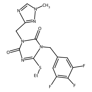 CCSc1nc(=O)n(Cc2ncn(C)n2)c(=O)n1Cc1cc(F)c(F)c(F)c1